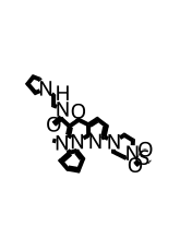 Cn1c2ccccc2n2c3nc(N4CCN(S(C)(=O)=O)CC4)ccc3c(=O)c(C(=O)NCCN3CCCC3)c12